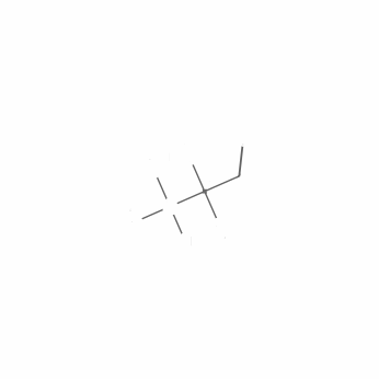 CCC(C)(C)[Si](C)(Cl)Cl